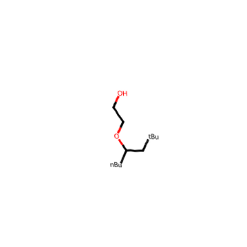 CCCCC(CC(C)(C)C)OCCO